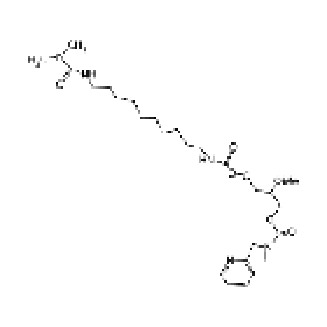 COC(COOC(=O)NCCCCCCCCCCNC(=O)N(C)C)COC(=O)NCc1ccccn1